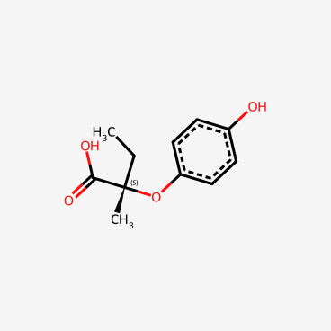 CC[C@](C)(Oc1ccc(O)cc1)C(=O)O